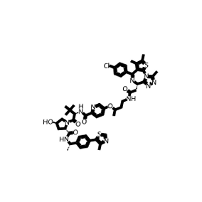 Cc1ncsc1-c1ccc([C@H](C)NC(=O)[C@@H]2C[C@@H](O)CN2C(=O)[C@@H](NC(=O)c2ccc(OC(C)CCNC(=O)C[C@@H]3N=C(c4ccc(Cl)cc4)c4c(sc(C)c4C)-n4c(C)nnc43)cn2)C(C)(C)C)cc1